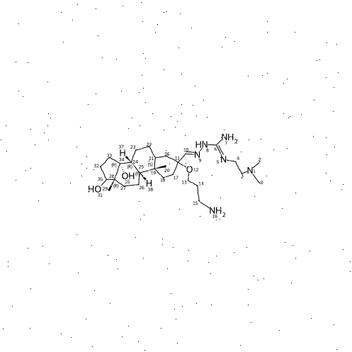 CN(C)CCN=C(N)NN=CC1(OCCCN)CC[C@@]2(C)C(CC[C@@H]3[C@H]2CC[C@]2(C)C(O)CC[C@@]32O)C1